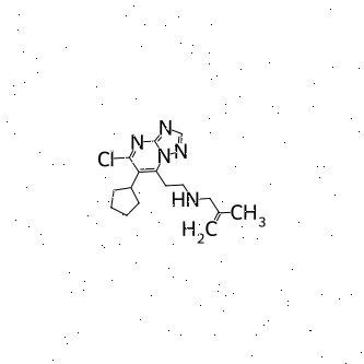 C=C(C)CNCCc1c(C2CCCC2)c(Cl)nc2ncnn12